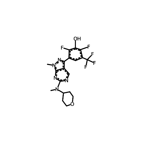 CN(c1ncc2c(-c3cc(C(F)(F)F)c(F)c(O)c3F)nn(C)c2n1)C1CCOCC1